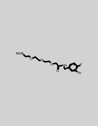 CNCCOCCOCCOCC(=O)NCc1ccc(F)c(C(C)=O)c1